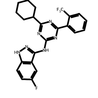 Fc1ccc2[nH]nc(Nc3nc(-c4ccccc4C(F)(F)F)nc(C4CCCCC4)n3)c2c1